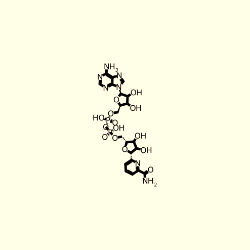 NC(=O)c1cccc([C@@H]2O[C@H](COP(=O)(O)OP(=O)(O)OC[C@H]3O[C@@H](n4cnc5c(N)ncnc54)C(O)C3O)C(O)C2O)n1